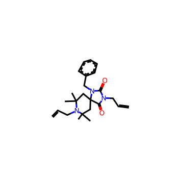 C=CCN1C(=O)N(Cc2ccccc2)C2(CC(C)(C)N(CC=C)C(C)(C)C2)C1=O